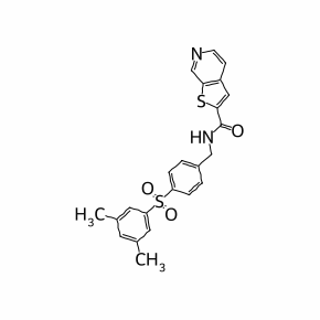 Cc1cc(C)cc(S(=O)(=O)c2ccc(CNC(=O)c3cc4ccncc4s3)cc2)c1